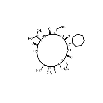 CCCCCCN1CCNC(=O)[C@H]([C@H](C)O)NC(=O)[C@H](CN)NC(=O)[C@H](C2CCCCCC2)NC(=O)[C@H](CC(C)C)N(C)C(=O)[C@@H]1C